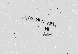 [AlH3].[AsH3].[AsH3].[Ni].[Ni].[Ni]